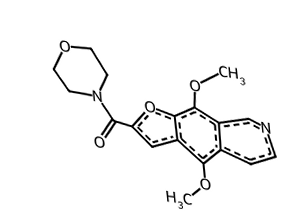 COc1c2ccncc2c(OC)c2oc(C(=O)N3CCOCC3)cc12